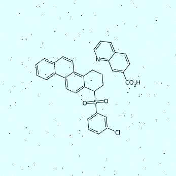 O=C(O)c1ccc2cccnc2c1.O=S(=O)(c1cccc(Cl)c1)C1CCCc2c1ccc1c2ccc2ccccc21